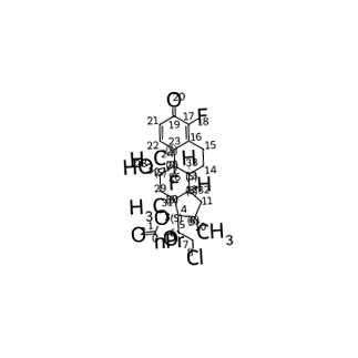 CCCC(=O)O[C@@]1(C(=O)CCl)[C@H](C)C[C@H]2[C@@H]3CCC4=C(F)C(=O)C=C[C@]4(C)[C@@]3(F)[C@@H](O)C[C@@]21C